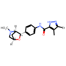 CCc1n[nH]c(C(=O)Nc2ccc([C@@H]3O[C@@H]4C[C@H]3N(C(=O)O)C4)cc2)c1C